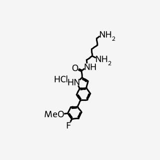 COc1cc(-c2ccc3cc(C(=O)NCC(N)CCCN)[nH]c3c2)ccc1F.Cl